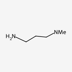 [CH2]NCCCN